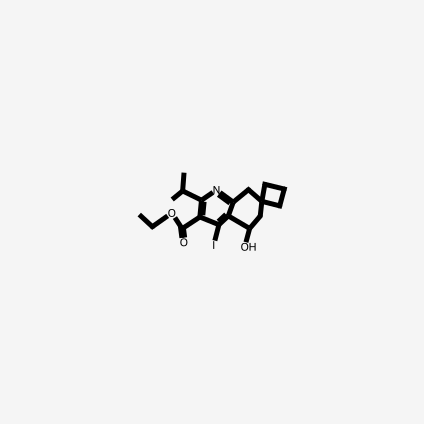 CCOC(=O)c1c(C(C)C)nc2c(c1I)C(O)CC1(CCC1)C2